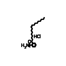 CCCCCCCC/C=C\CCCCCCCC(=O)c1ccccc1C(C)(C)N.Cl